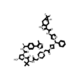 Cc1ncsc1-c1ccc([C@H](C)NC(=O)[C@@H]2C[C@@H](O)CN2C(=O)[C@@H](NC(=O)CN2CCN(CC(=O)N3CC([C@@H](c4ccccc4)n4cc(NC(=O)c5n[nH]c6c5C[C@@H]5C(F)(F)[C@]5(C)C6)cn4)C3)CC2)C(C)(C)C)cc1